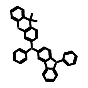 CC1(C)c2ccccc2Sc2cc(N(c3ccccc3)c3ccc4c(c3)c3ccccc3n4-c3ccccc3)ccc21